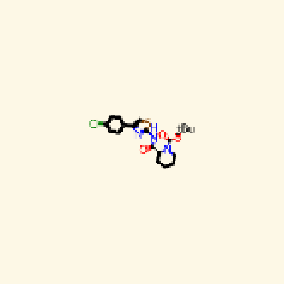 CC(C)(C)OC(=O)N1CCCC[C@H]1C(=O)Nc1nc(-c2ccc(Cl)cc2)cs1